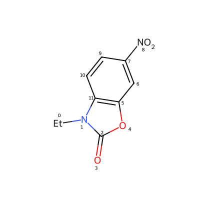 CCn1c(=O)oc2cc([N+](=O)[O-])ccc21